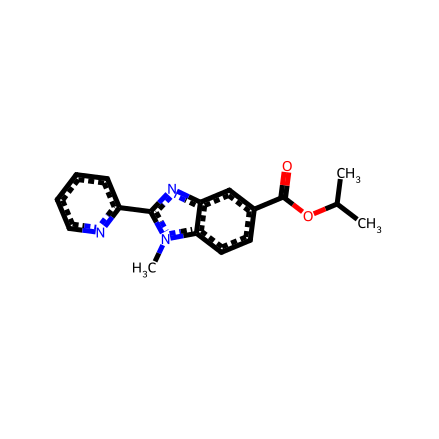 CC(C)OC(=O)c1ccc2c(c1)nc(-c1ccccn1)n2C